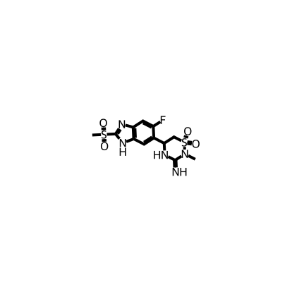 CN1C(=N)NC(c2cc3[nH]c(S(C)(=O)=O)nc3cc2F)CS1(=O)=O